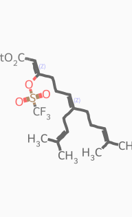 CCOC(=O)/C=C(/CC/C=C(\CC=C(C)C)CCC=C(C)C)OS(=O)(=O)C(F)(F)F